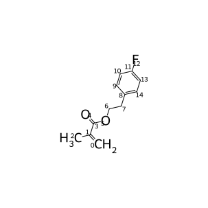 C=C(C)C(=O)OCCc1ccc(F)cc1